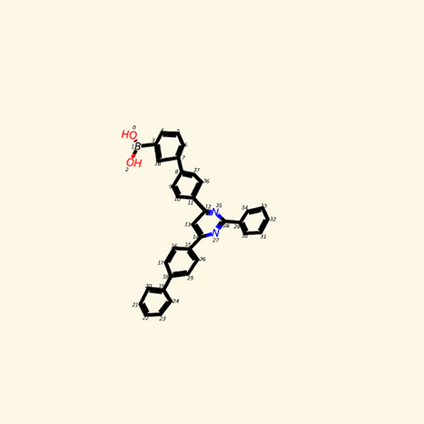 OB(O)c1cccc(-c2ccc(-c3cc(-c4ccc(-c5ccccc5)cc4)nc(-c4ccccc4)n3)cc2)c1